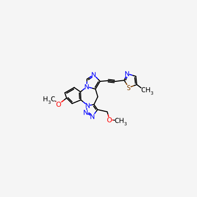 COCc1nnn2c1Cc1c(C#Cc3ncc(C)s3)ncn1-c1ccc(OC)cc1-2